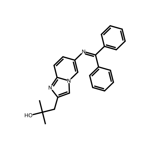 CC(C)(O)Cc1cn2cc(N=C(c3ccccc3)c3ccccc3)ccc2n1